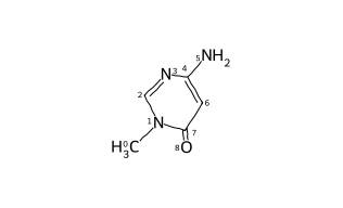 Cn1cnc(N)cc1=O